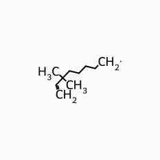 [CH2]CCCCC(C)(C)C=C